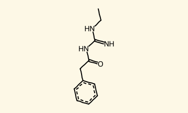 CCNC(=N)NC(=O)Cc1ccccc1